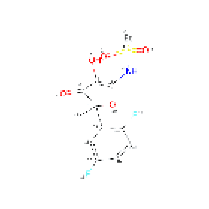 CCS(=O)(=O)NC1=C(O)C(=O)C(C)(c2cc(F)ccc2F)O1